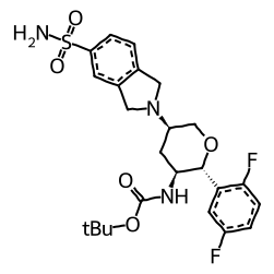 CC(C)(C)OC(=O)N[C@H]1C[C@@H](N2Cc3ccc(S(N)(=O)=O)cc3C2)CO[C@@H]1c1cc(F)ccc1F